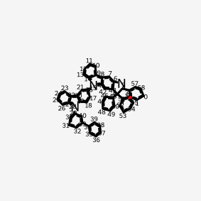 c1ccc(C2=Nc3cc4c5ccccc5n(-c5ccc6c(c5)c5ccccc5n6-c5cccc(-c6ccccc6)c5)c4cc3C2(c2ccccc2)c2ccccc2)cc1